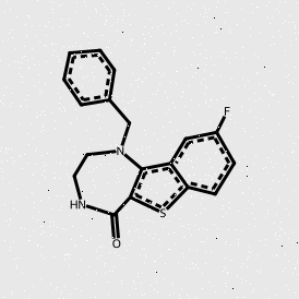 O=C1NCCN(Cc2ccccc2)c2c1sc1ccc(F)cc21